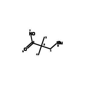 CC(C)(C)CC(C)(C)C(=O)N=O